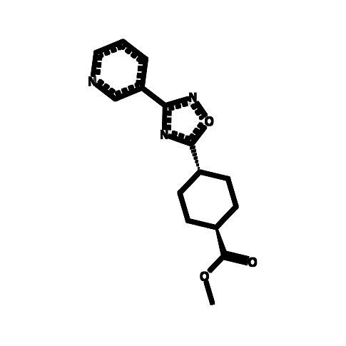 COC(=O)[C@H]1CC[C@H](c2nc(-c3cccnc3)no2)CC1